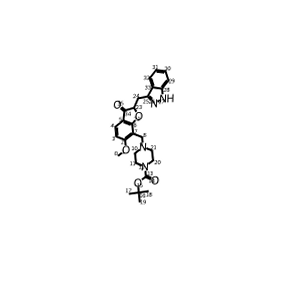 COc1ccc2c(c1CN1CCN(C(=O)OC(C)(C)C)CC1)OC(Cc1n[nH]c3ccccc13)C2=O